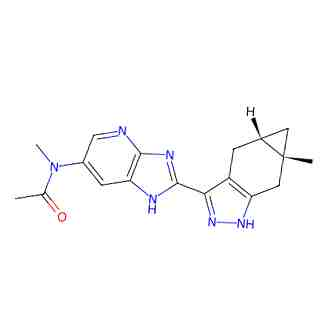 CC(=O)N(C)c1cnc2nc(-c3n[nH]c4c3C[C@@H]3C[C@]3(C)C4)[nH]c2c1